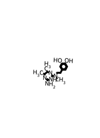 CC1N=C(N)NC(N(C)CCc2ccc(O)c(O)c2)=NC1C